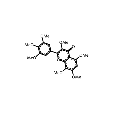 COc1cc(-c2oc3c(OC)c(OC)cc(OC)c3c(=O)c2OC)cc(OC)c1OC